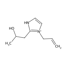 C=CC[n+]1cc[nH]c1CC(C)O